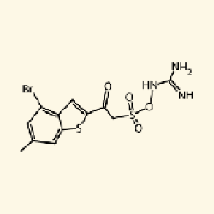 Cc1cc(Br)c2cc(C(=O)CS(=O)(=O)ONC(=N)N)sc2c1